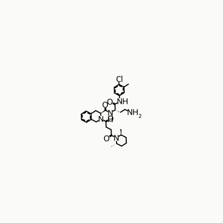 Cc1cc(NC(=O)[C@H](CCN)NC(=O)[C@@H]2Cc3ccccc3CN2C(=O)CCC(=O)N2[C@@H](C)CCC[C@@H]2C)ccc1Cl